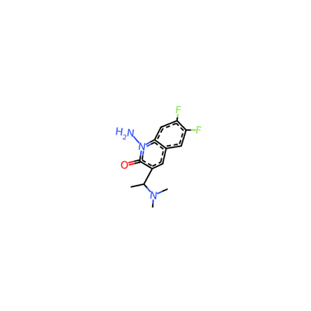 CC(c1cc2cc(F)c(F)cc2n(N)c1=O)N(C)C